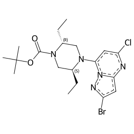 CC[C@@H]1CN(c2cc(Cl)nc3cc(Br)nn23)[C@@H](CC)CN1C(=O)OC(C)(C)C